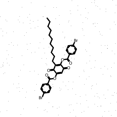 CCCCCCCCCCCC1=C(OC(=O)c2ccc(Br)cc2)C(=O)C=C(OC(=O)c2ccc(Br)cc2)C1=O